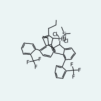 CCCC1=Cc2c(-c3ccccc3C(F)(F)F)cccc2[CH]1[Hf]([Cl])([Cl])([CH]1C(CCC)=Cc2c(-c3ccccc3C(F)(F)F)cccc21)[SiH](C)C